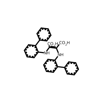 O=C(O)C(Nc1ccccc1-c1ccccc1)=C(Nc1ccccc1-c1ccccc1)C(=O)O